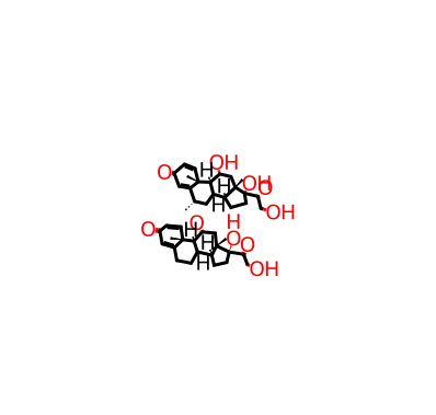 C[C@H]1C[C@@H]2[C@H]([C@@H](O)C[C@@]3(C)[C@H]2CC[C@]3(O)C(=O)CO)[C@@]2(C)C=CC(=O)C=C12.C[C@]12C=CC(=O)C=C1CC[C@@H]1[C@@H]2C(=O)C[C@@]2(C)[C@H]1CC[C@]2(O)C(=O)CO